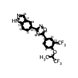 CC(Oc1ccc(-c2nc(-c3ccc4[nH]ncc4c3)no2)cc1C(F)(F)F)C(F)(F)F